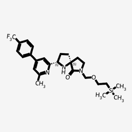 Cc1cc(-c2ccc(C(F)(F)F)cc2)cc([C@@H]2CC[C@@]3(CCN(COCC[Si](C)(C)C)C3=O)N2)n1